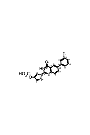 O=C(O)Oc1cnn(-c2nc3ccc(-c4cccc(F)c4)cc3c(=O)[nH]2)c1